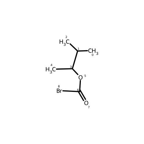 CC(C)C(C)OC(=O)Br